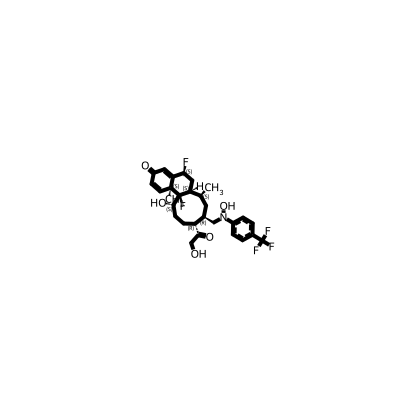 C[C@H]1C[C@@H](CN(O)c2ccc(C(F)(F)F)cc2)[C@H](C(=O)CO)CC[C@H](O)[C@@]2(F)[C@H]1C[C@H](F)C1=CC(=O)C=C[C@@]12C